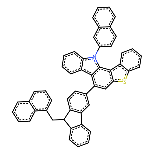 c1ccc2c(c1)-c1cc(-c3cc4sc5ccccc5c4c4c3c3ccccc3n4-c3ccc4ccccc4c3)ccc1C2Cc1cccc2ccccc12